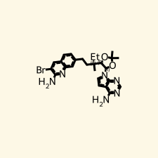 CC[C@](C)(CCc1ccc2cc(Br)c(N)nc2c1)[C@H]1OC(C)(C)O[C@H]1n1ccc2c(N)ncnc21